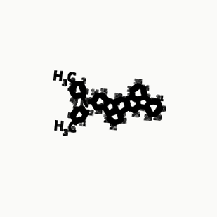 Cc1ccc(N(c2ccc(C)cc2)c2ccc3c(c2)c2cccc4c5cc6c7ccccc7c7cccc(c5cc3c24)c76)cc1